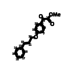 COC(=O)C(=O)c1ccc(OC/C=C/c2ccccc2)cc1